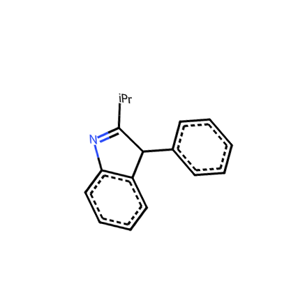 CC(C)C1=Nc2ccccc2C1c1ccccc1